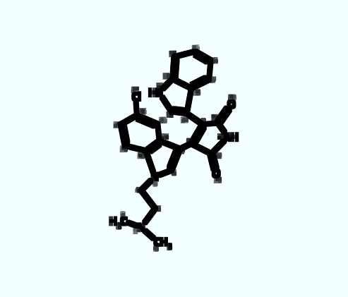 CN(C)CCn1cc(C2=C(c3c[nH]c4ccccc34)C(=O)NC2=O)c2cc(Cl)ccc21